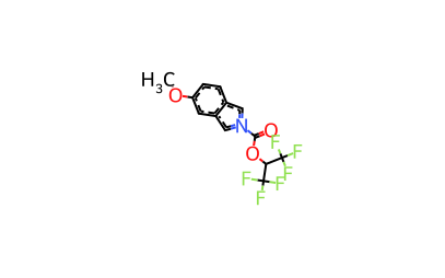 COc1ccc2cn(C(=O)OC(C(F)(F)F)C(F)(F)F)cc2c1